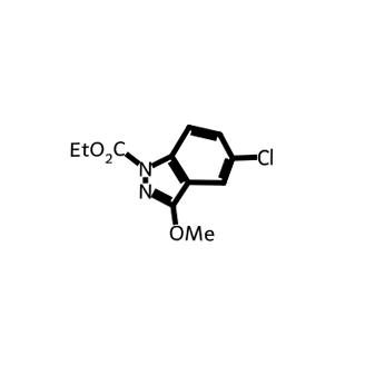 CCOC(=O)n1nc(OC)c2cc(Cl)ccc21